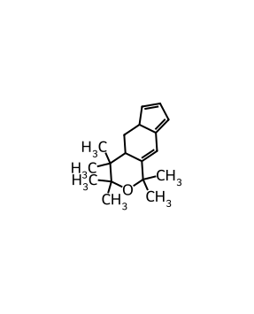 CC1(C)OC(C)(C)C(C)(C)C2CC3C=CC=C3C=C21